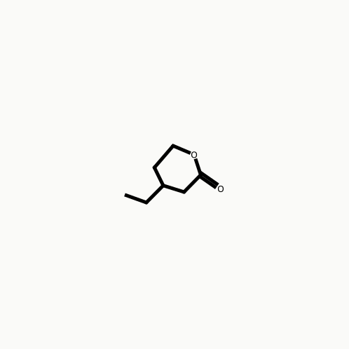 CC[C]1CCOC(=O)C1